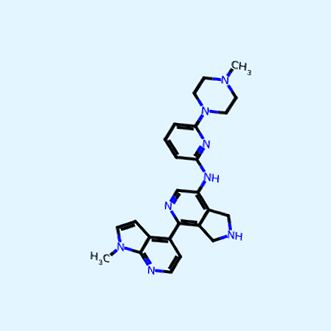 CN1CCN(c2cccc(Nc3cnc(-c4ccnc5c4ccn5C)c4c3CNC4)n2)CC1